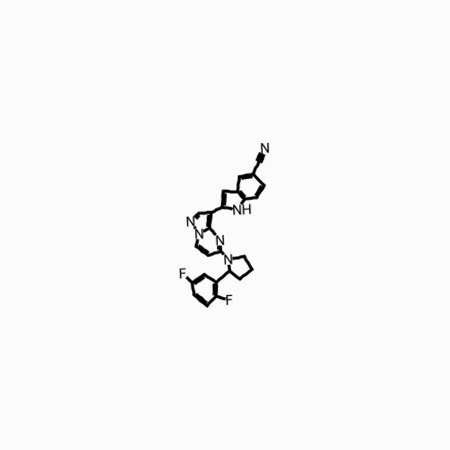 N#Cc1ccc2[nH]c(-c3cnn4ccc(N5CCCC5c5cc(F)ccc5F)nc34)cc2c1